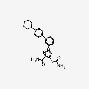 NC(=O)Nc1cn(-c2cccc(-c3ccc(C4CCCCC4)cc3)c2)nc1C(N)=O